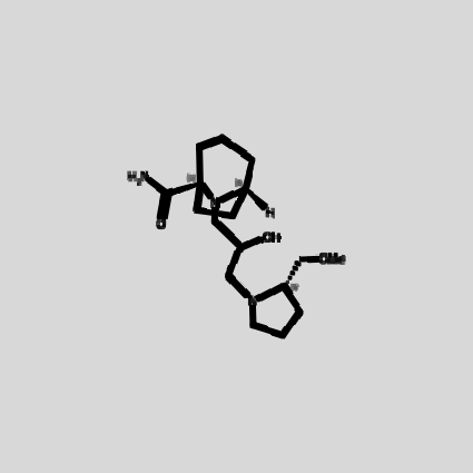 COC[C@@H]1CCCN1CC(O)CN1[C@@H]2C[CH]C[C@@]1(C(N)=O)CC2